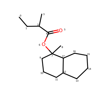 CCC(C)C(=O)OC1(C)CCCC2CCCCC21